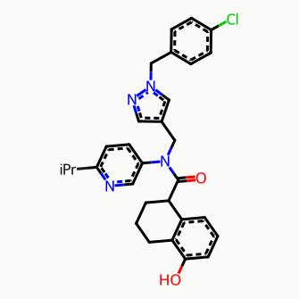 CC(C)c1ccc(N(Cc2cnn(Cc3ccc(Cl)cc3)c2)C(=O)C2CCCc3c(O)cccc32)cn1